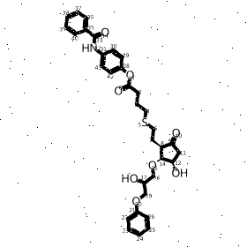 O=C(CCCSCC[C@H]1C(=O)C[C@@H](O)[C@@H]1OCC(O)COc1ccccc1)Oc1ccc(NC(=O)c2ccccc2)cc1